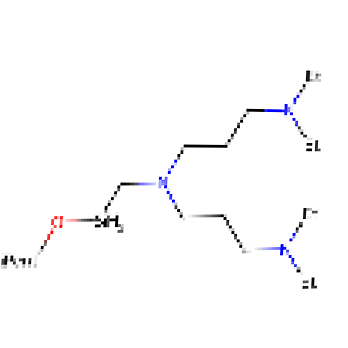 CCCC(C)O[SiH2]CN(CCCN(CC)CC)CCCN(CC)CC